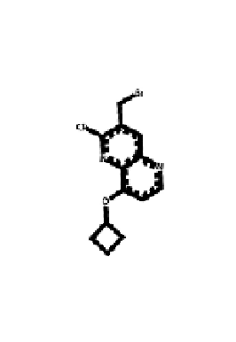 Clc1nc2c(OC3CCC3)ccnc2cc1CBr